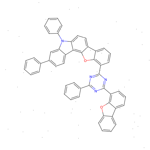 c1ccc(-c2ccc3c4c5oc6c(-c7nc(-c8ccccc8)nc(-c8cccc9c8oc8ccccc89)n7)cccc6c5ccc4n(-c4ccccc4)c3c2)cc1